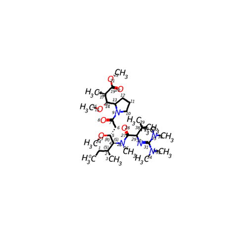 CC[C@H](C)[C@@H]([C@@H](CC(=O)N1CCCC1[C@H](OC)[C@@H](C)C(=O)OC)OC)N(C)C(=O)C(N=C(N(C)C)N(C)C)C(C)C